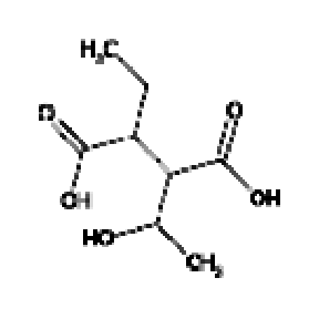 CCC(C(=O)O)C(C(=O)O)C(C)O